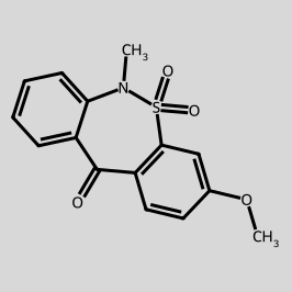 COc1ccc2c(c1)S(=O)(=O)N(C)c1ccccc1C2=O